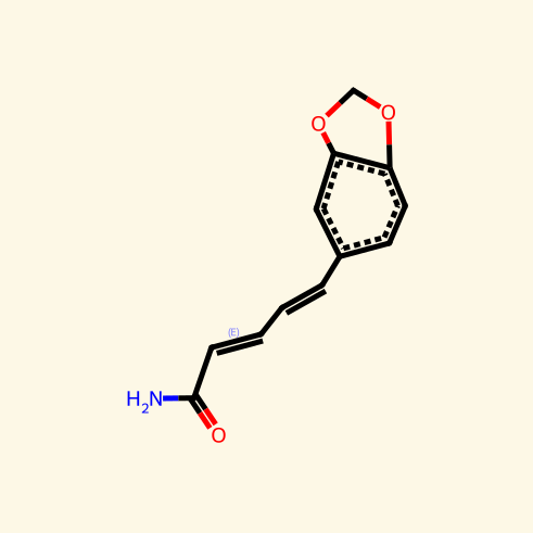 NC(=O)/C=C/C=Cc1ccc2c(c1)OCO2